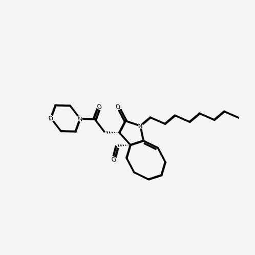 CCCCCCCCN1C(=O)[C@@H](CC(=O)N2CCOCC2)[C@]2(C=O)CCCCC/C=C/12